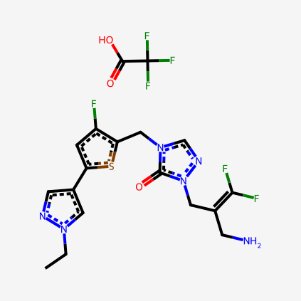 CCn1cc(-c2cc(F)c(Cn3cnn(CC(CN)=C(F)F)c3=O)s2)cn1.O=C(O)C(F)(F)F